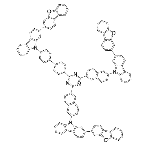 c1ccc2c(c1)oc1cc(-c3ccc4c5ccccc5n(-c5ccc(-c6ccc(-c7nc(-c8ccc9cc(-n%10c%11ccccc%11c%11ccc(-c%12ccc%13c(c%12)oc%12ccccc%12%13)cc%11%10)ccc9c8)nc(-c8ccc9cc(-n%10c%11ccccc%11c%11ccc(-c%12ccc%13c(c%12)oc%12ccccc%12%13)cc%11%10)ccc9c8)n7)cc6)cc5)c4c3)ccc12